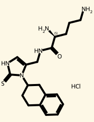 Cl.NCCC[C@H](N)C(=O)NCc1c[nH]c(=S)n1C1CCc2ccccc2C1